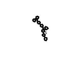 c1ccc(-c2ccc3c(c2)sc2c3ccc3c2c2ccccc2n3-c2ccc(-c3ccc(-n4c5ccccc5c5ccccc54)cc3)cc2)cc1